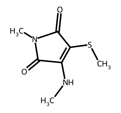 CNC1=C(SC)C(=O)N(C)C1=O